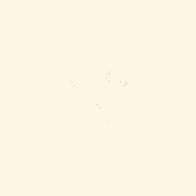 Cl.NNc1ncccn1